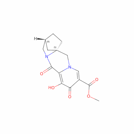 COC(=O)c1cn2c(c(O)c1=O)C(=O)N1C[C@@H]3CC[C@]1(C3)C2